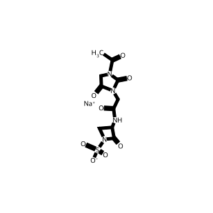 CC(=O)N1CC(=O)N(CC(=O)NC2CN(S(=O)(=O)[O-])C2=O)C1=O.[Na+]